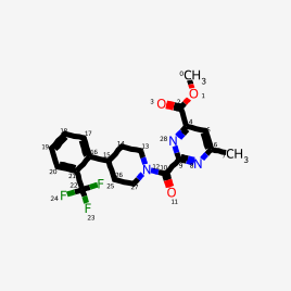 COC(=O)c1cc(C)nc(C(=O)N2CCC(c3ccccc3C(F)(F)F)CC2)n1